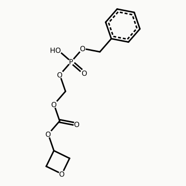 O=C(OCOP(=O)(O)OCc1ccccc1)OC1COC1